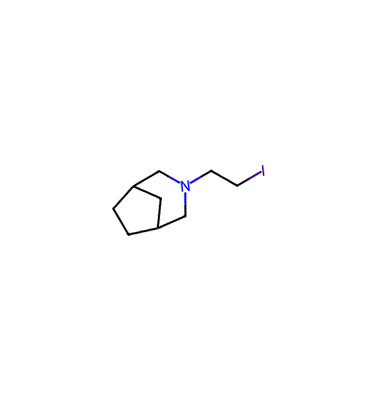 ICCN1CC2CCC(C2)C1